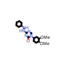 COc1ccc(-n2cnc(NNc3ccccc3)nc2=O)cc1OC